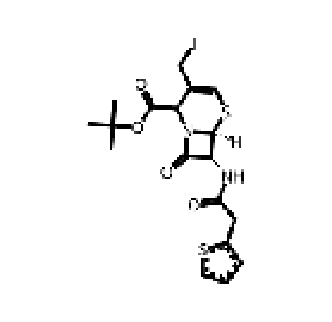 CC(C)(C)OC(=O)C1C(CI)=CS[C@H]2[C@H](NC(=O)Cc3cccs3)C(=O)N12